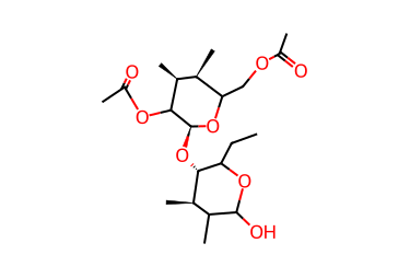 CCC1OC(O)C(C)[C@@H](C)[C@@H]1O[C@@H]1OC(COC(C)=O)[C@H](C)[C@H](C)C1OC(C)=O